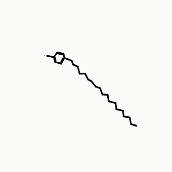 [CH2]c1ccc(CCCCCCCCCCCCCCCCCCC)cc1